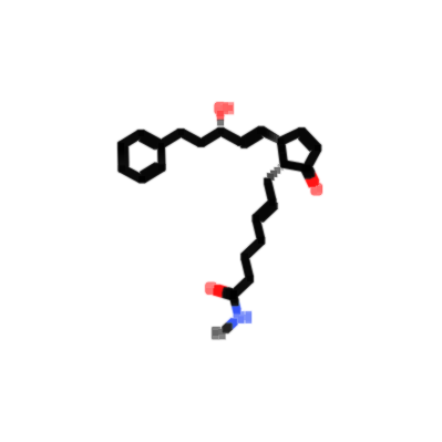 CCNC(=O)CCCC=CC[C@H]1C(=O)C=C[C@@H]1C=C[C@@H](O)CCc1ccccc1